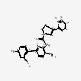 Nc1ccc(-c2ccc(F)cc2F)nc1NC(=O)N1CCC(c2cccnn2)C1